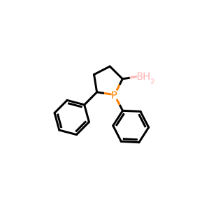 BC1CCC(c2ccccc2)P1c1ccccc1